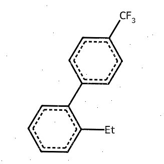 CCc1ccccc1-c1ccc(C(F)(F)F)cc1